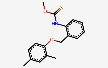 COC(=S)Nc1ccccc1COc1ccc(C)cc1C